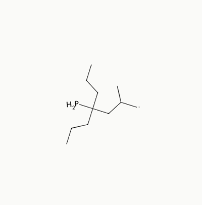 [CH2]C(C)CC(P)(CCC)CCC